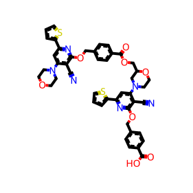 N#Cc1c(N2CCOCC2)cc(-c2cccs2)nc1OCc1ccc(C(=O)OCC2CN(c3cc(-c4cccs4)nc(OCc4ccc(C(=O)O)cc4)c3C#N)CCO2)cc1